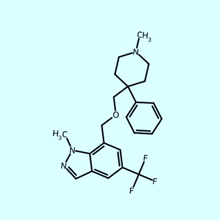 CN1CCC(COCc2cc(C(F)(F)F)cc3cnn(C)c23)(c2ccccc2)CC1